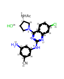 CC(=O)N[C@H]1CCN(c2nc(Nc3cc(N)cc(C#N)c3)nc3cc(Cl)ccc23)C1.Cl